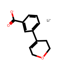 O=C([O-])c1cccc(C2=CCOCC2)c1.[Li+]